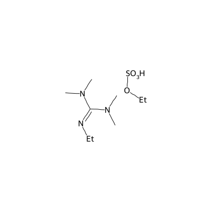 CCN=C(N(C)C)N(C)C.CCOS(=O)(=O)O